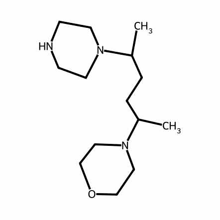 CC(CCC(C)N1CCOCC1)N1CCNCC1